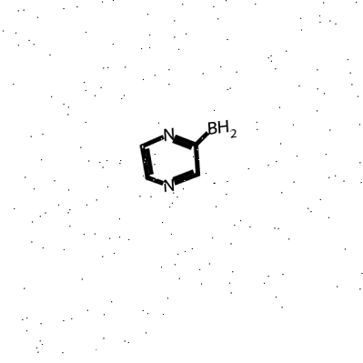 Bc1cnccn1